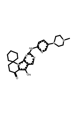 CN1CCN(c2ccc(Nc3ncc4c(O)c5n(c4n3)C3(CCCCC3)CCC5=O)nc2)CC1